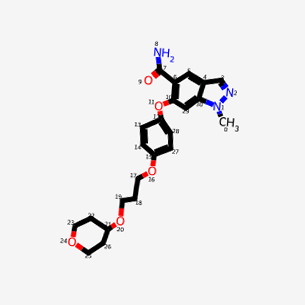 Cn1ncc2cc(C(N)=O)c(Oc3ccc(OCCCOC4CCOCC4)cc3)cc21